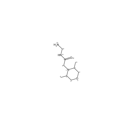 CC1COCC(C)N1CC(=O)NCN